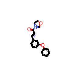 O=C(/C=C/c1cccc(Oc2ccccc2)c1)N1CCOC1